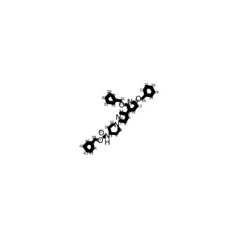 O=C(NC1CCN(c2ccc(-c3ccc(OCc4ccccc4)nc3OCc3ccccc3)cn2)CC1)OCc1ccccc1